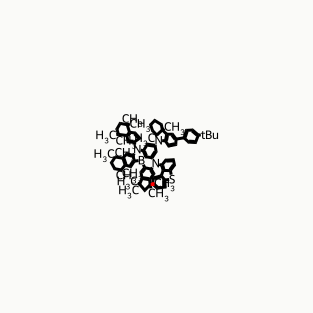 CC(C)(C)c1ccc(-c2ccc3c(c2)C2(C)CCCCC2(C)N3c2cc3c4c(c2)N(c2cccc5sc6ccccc6c25)c2cc5c(cc2B4c2cc4c(cc2N3c2ccc3c(c2)C(C)(C)CCC3(C)C)C(C)(C)CCC4(C)C)C(C)(C)CC5(C)C)cc1